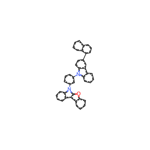 c1cc(-n2c3ccccc3c3cc(-c4cccc5ccccc45)ccc32)cc(-n2c3ccccc3c3c4ccccc4oc32)c1